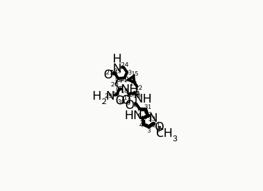 COc1ccc2[nH]c(C(=O)N[C@@H](CC3CC3)C(=O)N[C@@H](C[C@@H]3CCCNC3=O)C(N)=O)cc2n1